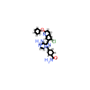 NC(=O)C1CCC(c2nc(-c3cc4nc(Oc5ccccc5)ccc4cc3Cl)c3c(N)nccn23)CC1